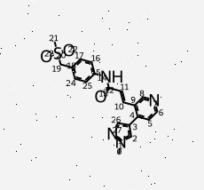 Cn1cc(-c2ccncc2/C=C/C(=O)Nc2ccc(CS(C)(=O)=O)cc2)cn1